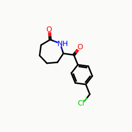 O=C1CCCCC(C(=O)c2ccc(CCl)cc2)N1